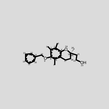 Cc1c(C)c2c(c(C)c1OCc1ccccc1)CC[C@](C)(CCO)O2